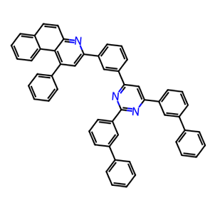 c1ccc(-c2cccc(-c3cc(-c4cccc(-c5cc(-c6ccccc6)c6c(ccc7ccccc76)n5)c4)nc(-c4cccc(-c5ccccc5)c4)n3)c2)cc1